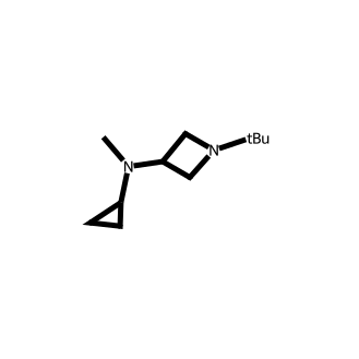 CN(C1CC1)C1CN(C(C)(C)C)C1